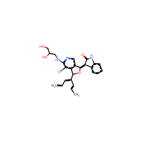 C=CC=C(C=CC)C1OC(=C2C(=O)Nc3ccccc32)c2cnc(NCC(O)CO)c(Cl)c21